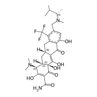 CC(C)[C@H](C)N(C)Cc1cc(O)c2c(c1C(F)(F)F)C[C@H]1C[C@H]3[C@H](N(C)C)C(O)=C(C(N)=O)C(=O)[C@@]3(O)C(O)=C1C2=O